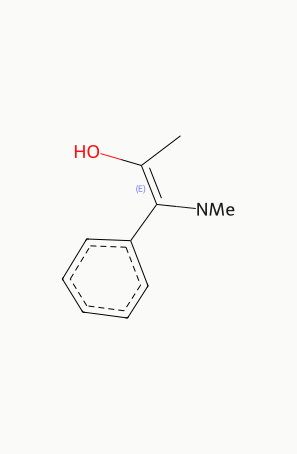 CN/C(=C(\C)O)c1ccccc1